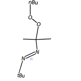 CCCCOOC(C)(C)/N=N/C(C)(C)C